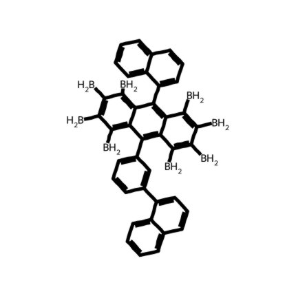 Bc1c(B)c(B)c2c(-c3cccc4ccccc34)c3c(B)c(B)c(B)c(B)c3c(-c3cccc(-c4cccc5ccccc45)c3)c2c1B